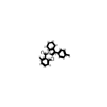 Cc1ccc(-c2cn(C(=O)c3c(C)cccc3Cl)c3c2CCCC3)cc1